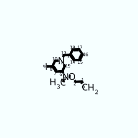 C=CCON(C)C1C=C(I)CN(Cc2ccccc2)C1